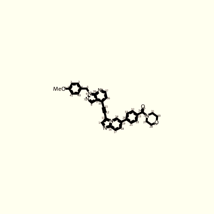 COc1ccc(Cn2ncc3c(C#Cc4cnc5ccc(-c6ccc(C(=O)N7CCOCC7)cc6)cn45)ccnc32)cc1